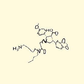 CCCCN(CCCN)C(=O)CN1CC(c2ccc3c(c2)OCO3)[C@H](C(=O)O)[C@H]1c1ccc(OC)cc1